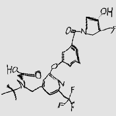 CC(C)(C)N(Cc1cc(Oc2cccc(C(=O)N3C[C@H](O)[C@@H](F)C3)c2)nc(C(F)(F)F)c1)C(=O)O